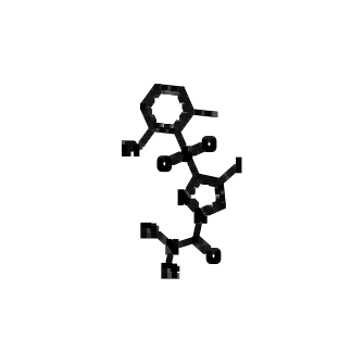 CCN(CC)C(=O)n1cc(I)c(S(=O)(=O)c2c(C)cccc2C(C)C)n1